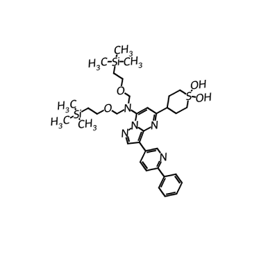 C[Si](C)(C)CCOCN(COCC[Si](C)(C)C)c1cc(C2CCS(O)(O)CC2)nc2c(-c3ccc(-c4ccccc4)nc3)cnn12